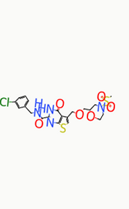 CS(=O)(=O)N1CCOC(COCc2csc3nc(C(=O)NCc4cccc(Cl)c4)[nH]c(=O)c23)C1